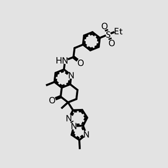 CCS(=O)(=O)c1ccc(CC(=O)Nc2cc(C)c3c(n2)CCC(C)(c2ccc4nc(C)cn4n2)C3=O)cc1